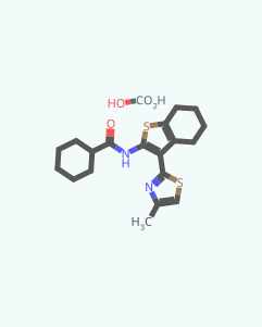 Cc1csc(-c2c(NC(=O)C3CCCCC3)sc3c2CCCC3)n1.O=C(O)O